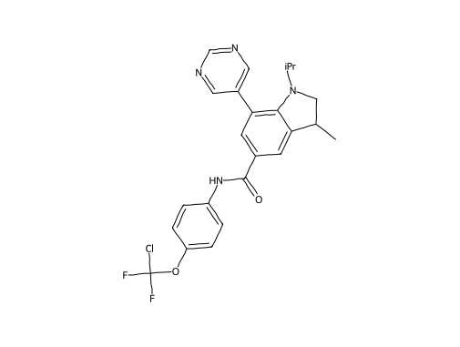 CC1CN(C(C)C)c2c(-c3cncnc3)cc(C(=O)Nc3ccc(OC(F)(F)Cl)cc3)cc21